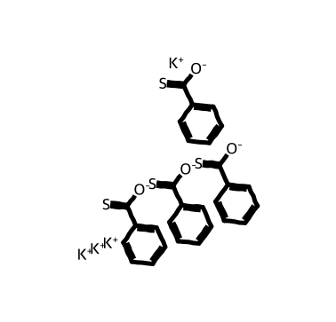 [K+].[K+].[K+].[K+].[O-]C(=S)c1ccccc1.[O-]C(=S)c1ccccc1.[O-]C(=S)c1ccccc1.[O-]C(=S)c1ccccc1